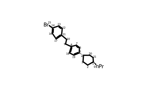 CCC[C@H]1CC[C@H](c2ccc(CCc3ccc(Br)cc3)cc2)CC1